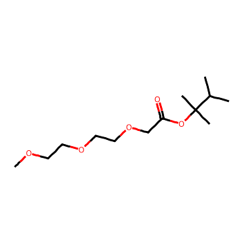 COCCOCCOCC(=O)OC(C)(C)C(C)C